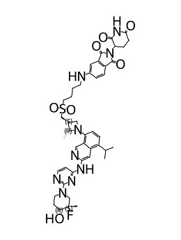 CC(C)c1ccc(N2C[C@H](CS(=O)(=O)CCCCNc3ccc4c(c3)C(=O)N(C3CCC(=O)NC3=O)C4=O)[C@H]2C)c2cnc(Nc3ccnc(N4CC[C@@H](O)[C@@](C)(F)C4)n3)cc12